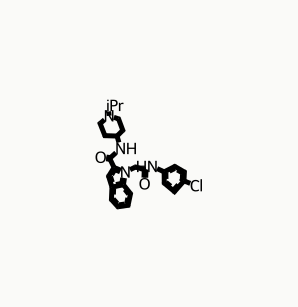 CC(C)N1CCC(NC(=O)c2cc3ccccc3n2CC(=O)Nc2ccc(Cl)cc2)CC1